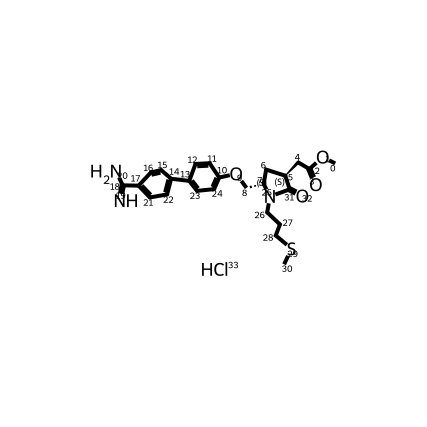 COC(=O)C[C@@H]1C[C@@H](COc2ccc(-c3ccc(C(=N)N)cc3)cc2)N(CCCSC)C1=O.Cl